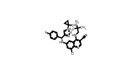 CC(C)(C)CNc1c(C#N)cnc2c(Cl)cc(N[C@@H](c3ccc(F)cc3)c3cn(C4(C)CC4)nn3)cc12